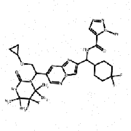 BC1(B)NC(=O)N(C(COC2CC2)c2cnn3cc(C(NC(=O)c4ccnn4C(C)C)C4CCC(F)(F)CC4)nc3c2)C(B)(B)C1(F)F